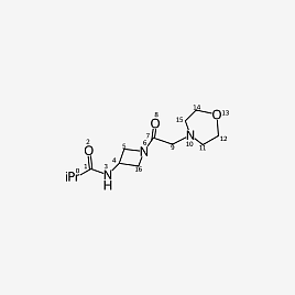 CC(C)C(=O)NC1CN(C(=O)CN2CCOCC2)C1